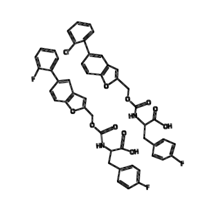 O=C(NC(Cc1ccc(F)cc1)C(=O)O)OCc1cc2cc(-c3ccccc3Cl)ccc2o1.O=C(NC(Cc1ccc(F)cc1)C(=O)O)OCc1cc2cc(-c3ccccc3F)ccc2o1